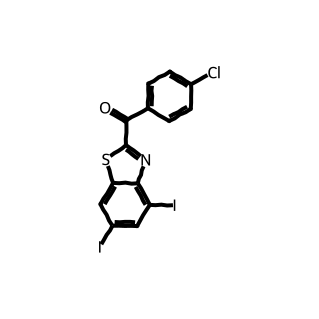 O=C(c1ccc(Cl)cc1)c1nc2c(I)cc(I)cc2s1